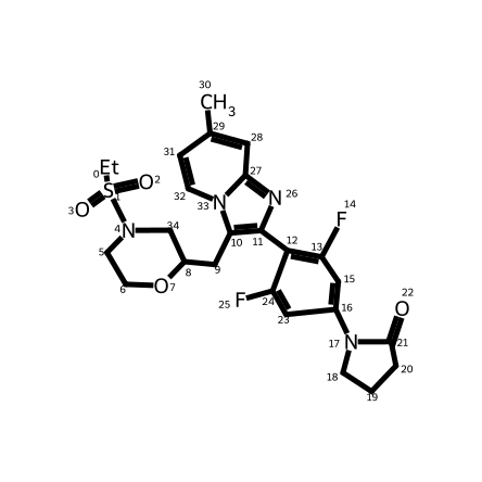 CCS(=O)(=O)N1CCOC(Cc2c(-c3c(F)cc(N4CCCC4=O)cc3F)nc3cc(C)ccn23)C1